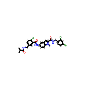 CC(C)C(=O)NCc1ccc(Cl)c(C(=O)Nc2ccc3c(c2)cc(C(=O)NCc2ccc(Br)cc2F)n3C)c1